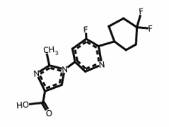 Cc1nc(C(=O)O)cn1-c1cnc(C2CCC(F)(F)CC2)c(F)c1